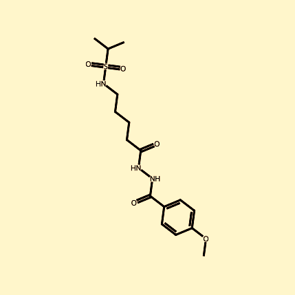 COc1ccc(C(=O)NNC(=O)CCCCNS(=O)(=O)C(C)C)cc1